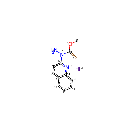 COC(=S)N(N)c1ccc2ccccc2n1.I